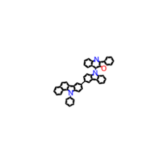 c1ccc(-n2c3ccc(-c4ccc5c(c4)c4ccccc4n5-c4c5ccccc5nc5c4oc4ccccc45)cc3c3ccc4ccccc4c32)cc1